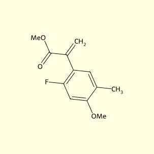 C=C(C(=O)OC)c1cc(C)c(OC)cc1F